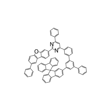 c1ccc(-c2cc(-c3cccc(-c4cc(-c5ccccc5)nc(-c5ccc6c(c5)oc5ccc(-c7ccccc7)cc56)n4)c3)cc(-c3ccc4c(c3)C3(c5ccccc5-c5ccccc53)c3ccccc3-4)c2)cc1